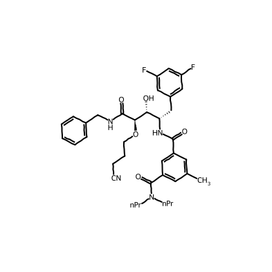 CCCN(CCC)C(=O)c1cc(C)cc(C(=O)N[C@@H](Cc2cc(F)cc(F)c2)[C@@H](O)[C@@H](OCCCC#N)C(=O)NCc2ccccc2)c1